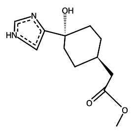 COC(=O)C[C@H]1CC[C@@](O)(c2c[nH]cn2)CC1